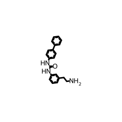 NCCc1cccc(NC(=O)Nc2ccc(-c3ccccc3)cc2)c1